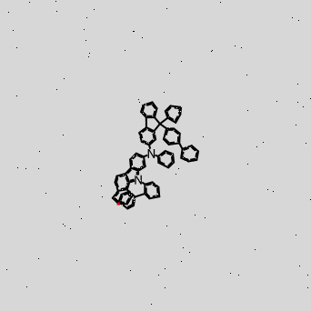 c1ccc(-c2ccc(C3(c4ccccc4)c4ccccc4-c4ccc(N(c5ccccc5)c5ccc6c7ccc8ccccc8c7n(-c7ccccc7-c7ccccc7)c6c5)cc43)cc2)cc1